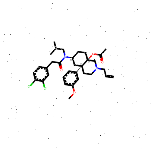 C=CCN1CC[C@@]2(c3cccc(OC)c3)C[C@@H](N(CC(C)C)C(=O)Cc3ccc(Cl)c(Cl)c3)CC[C@]2(OC(C)=O)C1